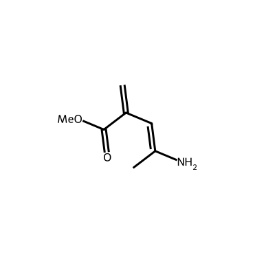 C=C(/C=C(\C)N)C(=O)OC